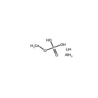 O=P(O)(O)[O][GeH3].[AlH3].[LiH]